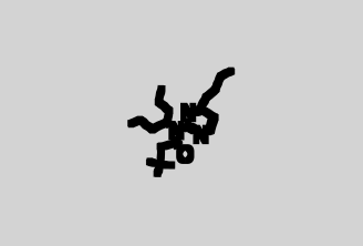 CCCCc1ccnc(N(C(=O)CC(C)(C)C)C(CCC)CCC)n1